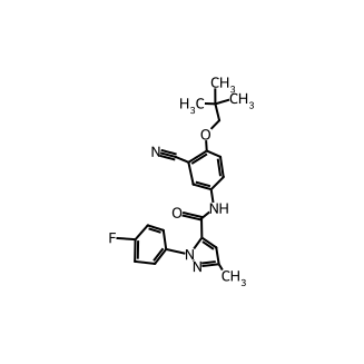 Cc1cc(C(=O)Nc2ccc(OCC(C)(C)C)c(C#N)c2)n(-c2ccc(F)cc2)n1